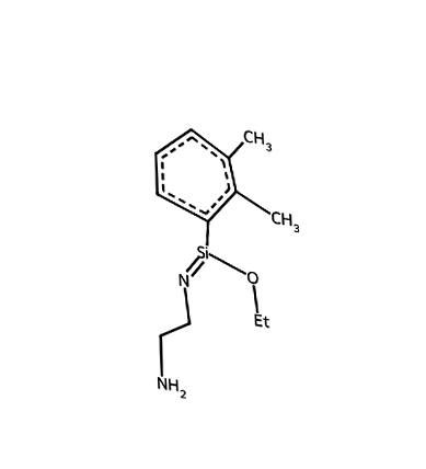 CCO[Si](=NCCN)c1cccc(C)c1C